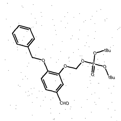 CC(C)(C)OP(=O)(OCOc1cc(C=O)ccc1OCc1ccccc1)OC(C)(C)C